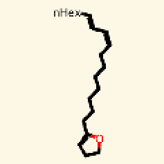 CCCCCC/C=C/C=C\CCCCCCCC1=CCCO1